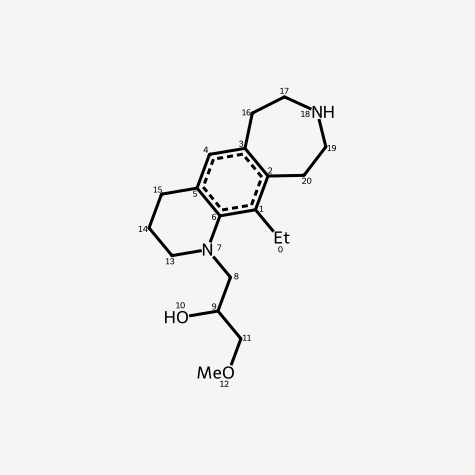 CCc1c2c(cc3c1N(CC(O)COC)CCC3)CCNCC2